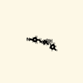 Cc1ccc(N(C)CC2(O)CN(CCc3ccc(C#N)cc3)C2)cc1